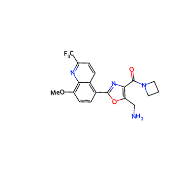 COc1ccc(-c2nc(C(=O)N3CCC3)c(CN)o2)c2ccc(C(F)(F)F)nc12